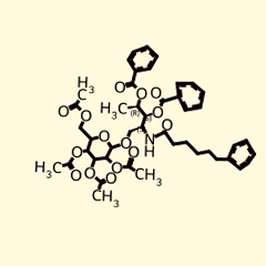 CC(=O)OCC1OC(OC[C@H](NC(=O)CCCCCc2ccccc2)[C@H](OC(=O)c2ccccc2)[C@@H](C)OC(=O)c2ccccc2)C(OC(C)=O)C(OC(C)=O)C1OC(C)=O